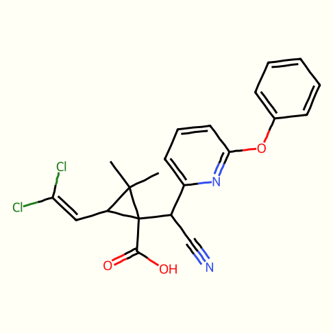 CC1(C)C(C=C(Cl)Cl)C1(C(=O)O)C(C#N)c1cccc(Oc2ccccc2)n1